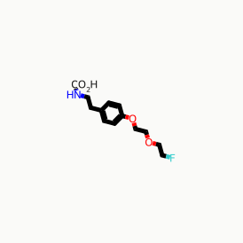 O=C(O)NCCc1ccc(OCCOCCF)cc1